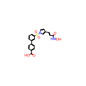 O=C(C=Cc1ccn(S(=O)(=O)c2cccc(-c3ccc(C(=O)O)cc3)c2)c1)NO